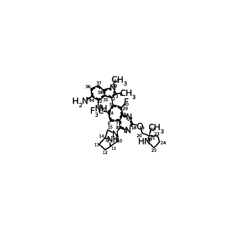 Cc1c(-c2c(C(F)(F)F)cc3c(N4CC5CCC(C4)N5)nc(OC[C@]4(C)CCCN4)nc3c2F)c2c(N)c(N)ccc2n1C